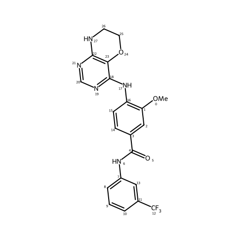 COc1cc(C(=O)Nc2cccc(C(F)(F)F)c2)ccc1Nc1ncnc2c1OCCN2